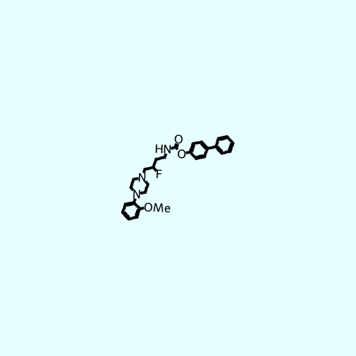 COc1ccccc1N1CCN(CC(F)CCNC(=O)Oc2ccc(-c3ccccc3)cc2)CC1